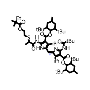 CCC(C)(C)C(=O)OCCSC(C)C(=O)Nc1[nH]c(/C=C2\N=C(NC(=O)C(C)(C)C)C(C(=O)OC3C(C(C)(C)C)CC(C)CC3C(C)(C)C)=C2C(C)C)c(C(C)C)c1C(=O)OC1C(C(C)(C)C)CC(C)CC1C(C)(C)C